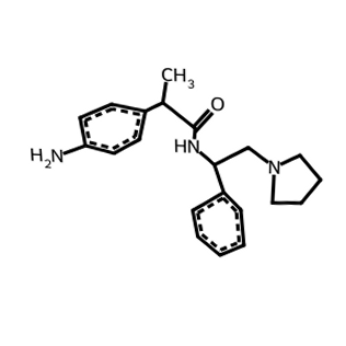 CC(C(=O)NC(CN1CCCC1)c1ccccc1)c1ccc(N)cc1